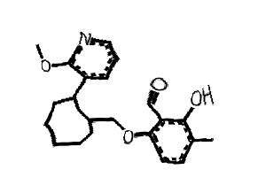 COc1ncccc1C1CCCCC1COc1ccc(C)c(O)c1C=O